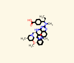 CC[C@H](C1CCC(C(=O)O)CC1)N(C)c1nc2c(c(N[C@@H](CN3C[C@@H](C)C[C@H](OC)C3)c3cnn(C)c3)n1)C[C@H](c1ccccc1)CC2